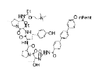 CCCCCOc1ccc(-c2ccc(-c3ccc(C(=O)NCC(=O)NC(C(=O)N4CCCC4C(=O)NC(CCc4ccc(O)cc4)C(=O)NC(CC)C(=O)N4C[C@H](C)CC4C(=O)NC(CC)OCC[N+](C)(C)C)[C@@H](C)O)cc3)cc2)cc1